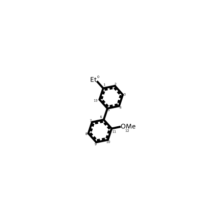 CCc1cccc(-c2ccccc2OC)c1